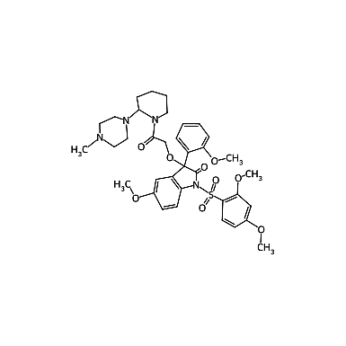 COc1ccc(S(=O)(=O)N2C(=O)C(OCC(=O)N3CCCCC3N3CCN(C)CC3)(c3ccccc3OC)c3cc(OC)ccc32)c(OC)c1